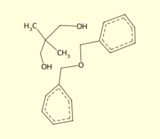 CC(C)(CO)CO.c1ccc(COCc2ccccc2)cc1